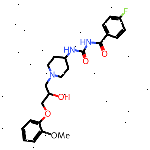 COc1ccccc1OCC(O)CN1CCC(NC(=O)NC(=O)c2ccc(F)cc2)CC1